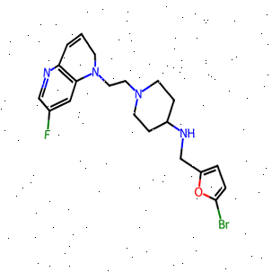 Fc1cnc2c(c1)N(CCN1CCC(NCc3ccc(Br)o3)CC1)CC=C2